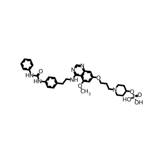 COc1cc(OCCCN2CCC(OP(=O)(O)O)CC2)cc2ncnc(NCCc3ccc(NC(=O)Nc4ccccc4)cc3)c12